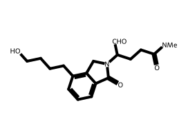 CNC(=O)CCC(C=O)N1Cc2c(CCCCO)cccc2C1=O